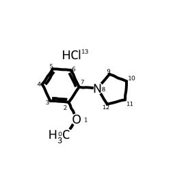 COc1ccccc1N1CCCC1.Cl